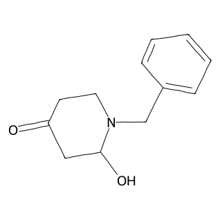 O=C1CCN(Cc2ccccc2)C(O)C1